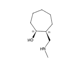 CNC[C@@H]1CCCCC[C@@H]1O